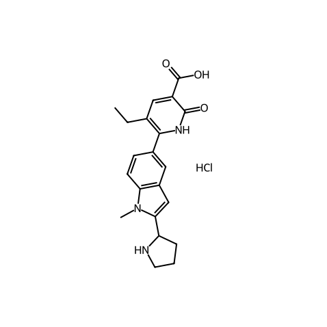 CCc1cc(C(=O)O)c(=O)[nH]c1-c1ccc2c(c1)cc(C1CCCN1)n2C.Cl